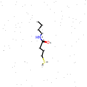 CCCCNC(=O)CCCSC